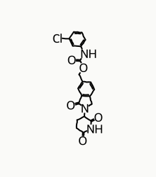 O=C1CCC(N2Cc3ccc(COC(=O)Nc4cccc(Cl)c4)cc3C2=O)C(=O)N1